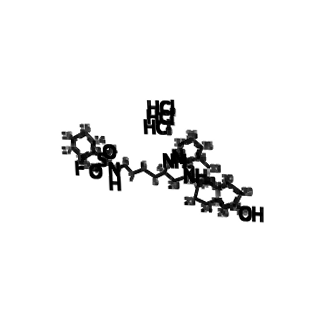 Cl.Cl.Cl.NC(CCCCNS(=O)(=O)c1ccccc1F)CN[C@H]1CCc2cc(O)ccc2[C@H]1Cc1cccnc1